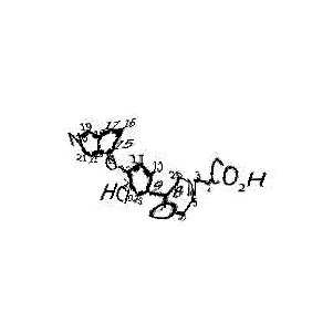 Cl.O=C(O)CCN1CCOC(c2ccc(Oc3cccc4cnccc34)cc2)C1